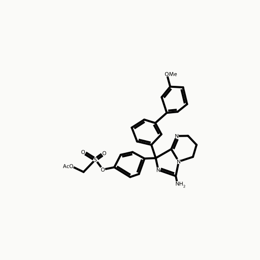 COc1cccc(-c2cccc(C3(c4ccc(OS(=O)(=O)COC(C)=O)cc4)N=C(N)N4CCCN=C43)c2)c1